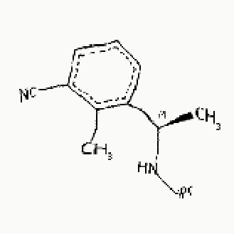 Cc1c(C#N)cccc1[C@@H](C)NC(C)C